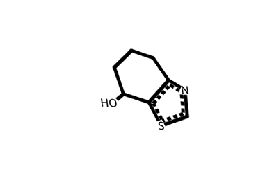 OC1CCCc2ncsc21